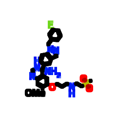 COc1cc2c(cc1OCCCNCCS(C)(=O)=O)C(N)(c1ccc3c(cnn3Cc3cccc(F)c3)c1)NC=N2